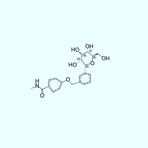 CNC(=O)c1ccc(OCc2cccc([C@H]3O[C@H](CO)[C@@H](O)[C@H](O)[C@H]3O)c2)cc1